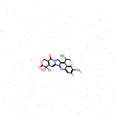 CC[C@@]1(O)C(=O)OCc2c1cc1n(c2=O)Cc2c-1nc1cc(F)c(C)c3c1c2C(C#N)CS3